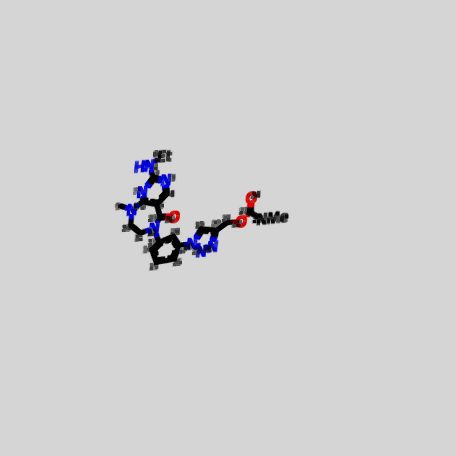 CCNc1ncc2c(n1)N(C)CCN(c1cccc(-n3cc(COC(=O)NC)nn3)c1)C2=O